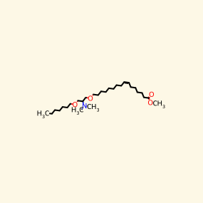 CCCCCCCOCC(COCCCCCCCC/C=C\CCCCCC(=O)OC)N(C)C